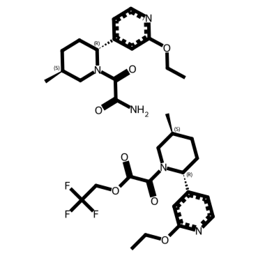 CCOc1cc([C@H]2CC[C@H](C)CN2C(=O)C(=O)OCC(F)(F)F)ccn1.CCOc1cc([C@H]2CC[C@H](C)CN2C(=O)C(N)=O)ccn1